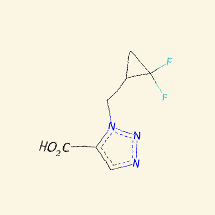 O=C(O)c1cnnn1CC1CC1(F)F